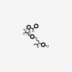 CCC(=O)N(CCOc1ccc(C[C@H](Nc2ccccc2C(=O)c2ccccc2)C(=O)OC)cc1)c1ccc(Cl)cc1